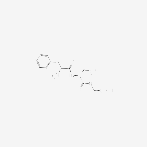 N[C@@H](Cc1ccccc1)C(=O)N[C@@H](CS)C(=O)NCC(=O)O